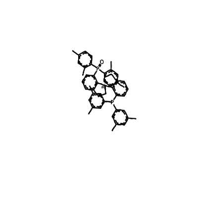 Cc1cc(C)cc(P(c2cc(C)cc(C)c2)c2cccc3c2[C@@]2(CC3)CCc3cccc(P(=O)(c4ccc(C)cc4C)c4ccc(C)cc4C)c32)c1